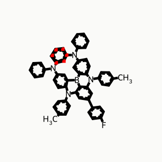 Cc1ccc(N2c3ccc(N(c4ccccc4)c4ccccc4)cc3B3c4cc(N(c5ccccc5)c5ccccc5)ccc4N(c4ccc(C)cc4)c4cc(-c5ccc(F)cc5)cc2c43)cc1